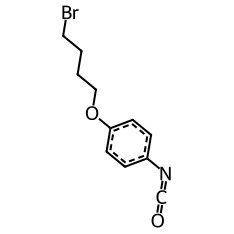 O=C=Nc1ccc(OCCCCBr)cc1